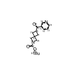 CC(C)(C)OC(=O)N1CC2(CC(C(=O)c3cccnc3)C2)C1